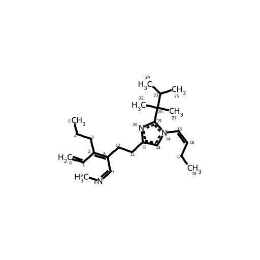 C=C/C(CCC)=C(\C=N/C)CCc1cn(/C=C\CC)c(C(C)(C)C(C)C)n1